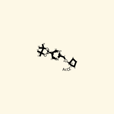 CC(=O)O[C@H]1CCC[C@@H]1OCc1ncc(B2OC(C)(C)C(C)(C)O2)cn1